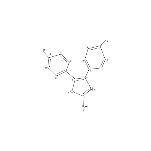 Cc1ccc(-c2nc(S)oc2-c2ccc(C)cc2)cc1